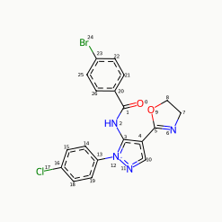 O=C(Nc1c(C2=NCCO2)cnn1-c1ccc(Cl)cc1)c1ccc(Br)cc1